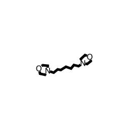 C(CCCN1CCOCC1)CCCN1CCOCC1